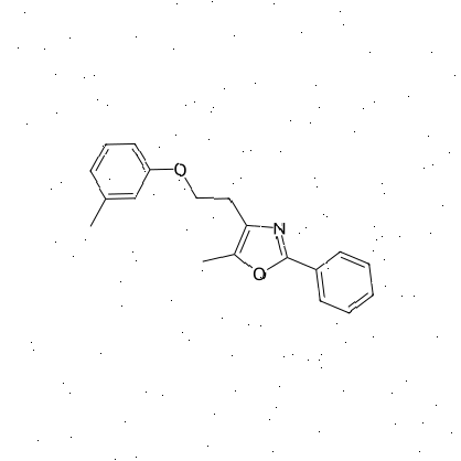 Cc1cccc(OCCc2nc(-c3ccccc3)oc2C)c1